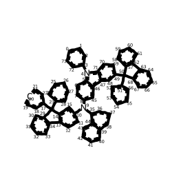 c1ccc(-n2c3ccc(N(c4ccc5c(c4)C(c4ccccc4)(c4ccccc4)c4ccccc4-5)c4cccc5ccccc45)cc3c3cc(C4(c5ccccc5)c5ccccc5-c5ccccc54)ccc32)cc1